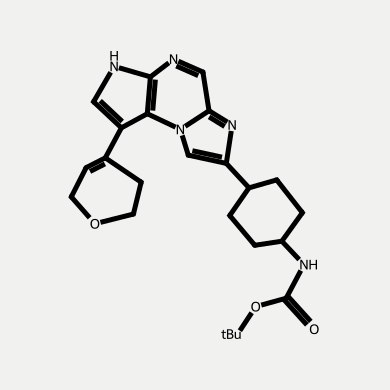 CC(C)(C)OC(=O)NC1CCC(c2cn3c(cnc4[nH]cc(C5=CCOCC5)c43)n2)CC1